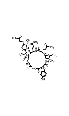 CC[C@H](C)[C@@H]1NC(=O)[C@H](Cc2ccc(O)cc2)NC(=O)CCC(=O)NC[C@@H](C(=O)N(C)CC(=O)N[C@@H](CO)C(=O)NCC(N)=O)NC(=O)[C@H](CCC(N)=O)NC(=O)[C@H](CCC(N)=O)NC1=O